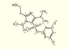 CC(C)c1nc(CCO)n(C(C)C)c1S(=O)(=O)Oc1cc(Cl)cc(Cl)c1